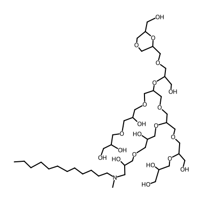 CCCCCCCCCCCCN(C)CC(O)COCC(O)COC(COCC(CO)OCC(O)CO)COCC(COCC(O)COCC(O)CO)OC(CO)COCC1COCC(CO)O1